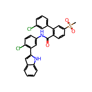 CS(=O)(=O)c1ccc(C(=O)Nc2ccc(Cl)c(-c3cc4ccccc4[nH]3)c2)c(-c2cccc(Cl)c2)c1